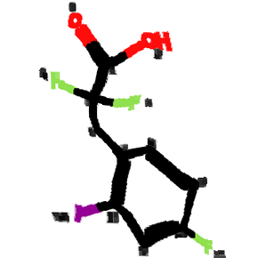 O=C(O)C(F)(F)Cc1ccc(F)cc1I